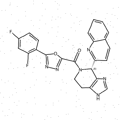 O=C(c1nnc(-c2ccc(F)cc2F)o1)N1CCc2[nH]cnc2[C@H]1c1ccc2ccccc2n1